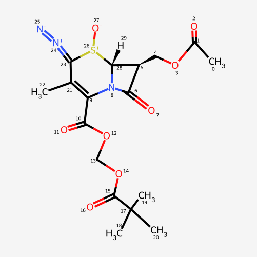 CC(=O)OC[C@H]1C(=O)N2C(C(=O)OCOC(=O)C(C)(C)C)=C(C)C(=[N+]=[N-])[S+]([O-])[C@H]12